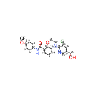 O=C(Nc1ccc(OC(F)(F)F)cc1)c1cccc2c1OCCN2c1ncc(CO)cc1Cl